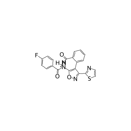 NC(=O)c1ccccc1-c1c(-c2nccs2)noc1NC(=O)c1ccc(F)cc1